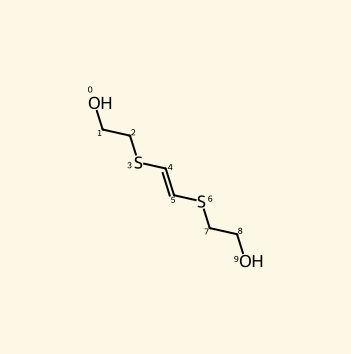 OCCS/C=C/SCCO